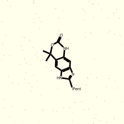 CCCC(C)c1nc2cc3c(cc2[nH]1)C(C)(C)OC(=O)N3